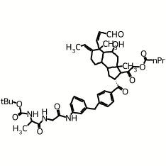 C/C=C1\CCC2C(C(O)CC3(C)C2C[C@@H](C(=O)c2ccc(Cc4cccc(NC(=O)CNC(=O)C(C)NC(=O)OC(C)(C)C)c4)cc2)C3C(=O)COC(=O)CCC)C1(C)/C=C\C=O